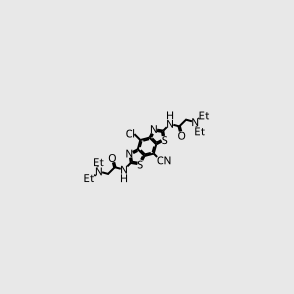 CCN(CC)CC(=O)Nc1nc2c(Cl)c3nc(NC(=O)CN(CC)CC)sc3c(C#N)c2s1